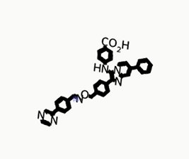 O=C(O)c1ccc(Nc2c(-c3ccc(CO/N=C/c4ccc(-c5cnccn5)cc4)cc3)nc3cc(-c4ccccc4)ccn23)cc1